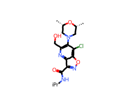 CC(C)NC(=O)c1noc2c(Cl)c(N3C[C@@H](C)O[C@@H](C)C3)c(CO)nc12